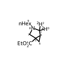 [2H]C1([2H])C2CC2(C(=O)OCC)CN1CCCCCC